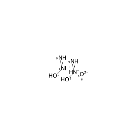 N=[NH+]O.N=[NH+]O.[O-2]